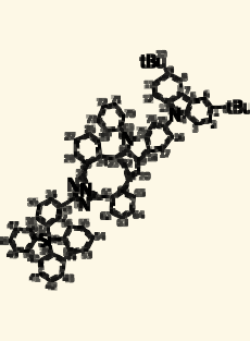 CC(C)(C)c1ccc2c(c1)c1cc(C(C)(C)C)ccc1n2-c1ccc2c3cc4cc(c5ccccc5c5nc(-c6cccc([Si](c7ccccc7)(c7ccccc7)c7ccccc7)c6)nc(n5)c5ccccc45)c3n(-c3ccccc3)c2c1